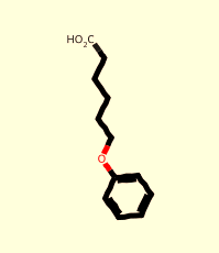 O=C(O)CCCCCOc1ccccc1